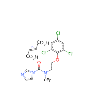 CCCN(CCOc1c(Cl)cc(Cl)cc1Cl)C(=O)n1ccnc1.O=C(O)/C=C/C(=O)O